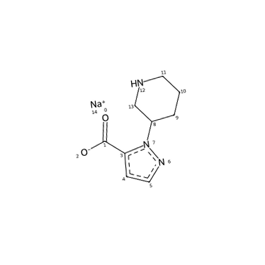 O=C([O-])c1ccnn1C1CCCNC1.[Na+]